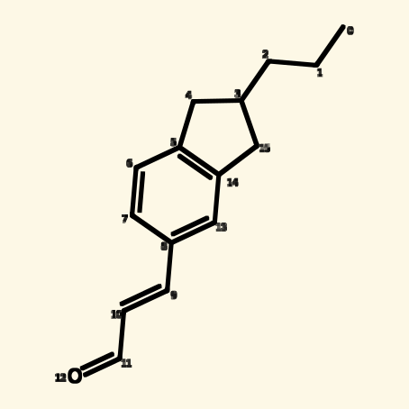 CCCC1Cc2ccc(C=CC=O)cc2C1